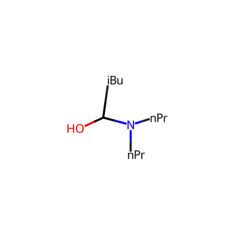 CCCN(CCC)C(O)C(C)CC